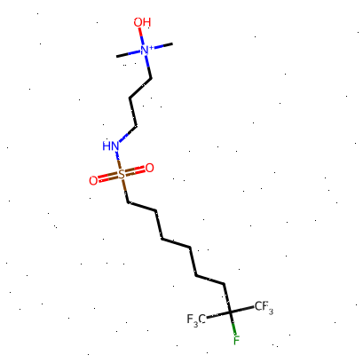 C[N+](C)(O)CCCNS(=O)(=O)CCCCCCC(F)(C(F)(F)F)C(F)(F)F